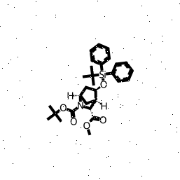 COC(=O)[C@H]1[C@H]2C[C@H](C[C@H]2O[Si](c2ccccc2)(c2ccccc2)C(C)(C)C)N1C(=O)OC(C)(C)C